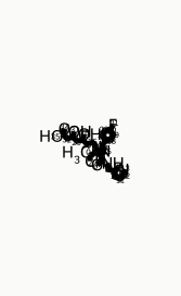 CC(C)c1c(C(=O)NCc2cccnc2)nc(-c2ccc(F)cc2)n1CCC(O)CC(O)CC(=O)O